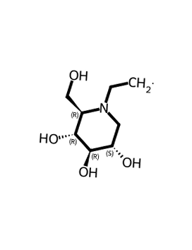 [CH2]CN1C[C@H](O)[C@@H](O)[C@H](O)[C@H]1CO